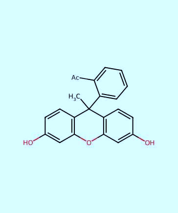 CC(=O)c1ccccc1C1(C)c2ccc(O)cc2Oc2cc(O)ccc21